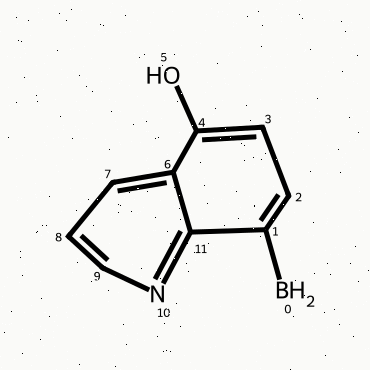 Bc1ccc(O)c2cccnc12